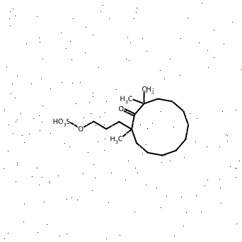 CC1(C)CCCCCCCCCC(C)(CCCOS(=O)(=O)O)C1=O